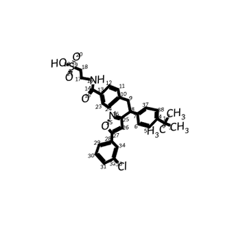 CC(C)(C)c1ccc(C(Cc2ccc(C(=O)NCCS(=O)(=O)O)cc2)c2cc(-c3cccc(Cl)c3)on2)cc1